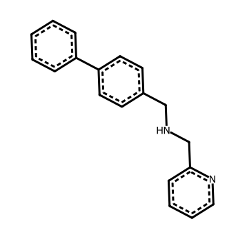 c1ccc(-c2ccc(CNCc3ccccn3)cc2)cc1